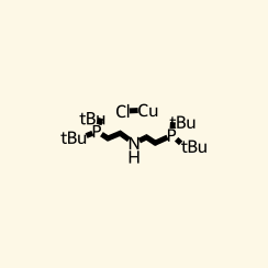 CC(C)(C)P(CCNCCP(C(C)(C)C)C(C)(C)C)C(C)(C)C.[Cl][Cu]